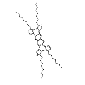 CCCCCCCCc1scc2c3cc4cc5c(cc4cc3c3csc(CCCCCCCC)c3c12)c1csc(CCCCCCCC)c1c1c(CCCCCCCC)scc51